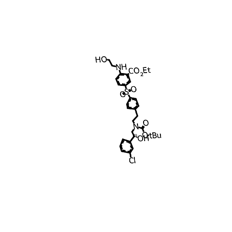 CCOC(=O)c1cc(S(=O)(=O)c2ccc(CCN(C[C@H](O)c3cccc(Cl)c3)C(=O)OC(C)(C)C)cc2)ccc1NCCO